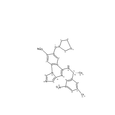 COc1cc2c(cc1OC1CCOC1)c(N[C@H](C)c1cc([N+](=O)[O-])cc(C(F)(F)F)c1)nc1cncn12